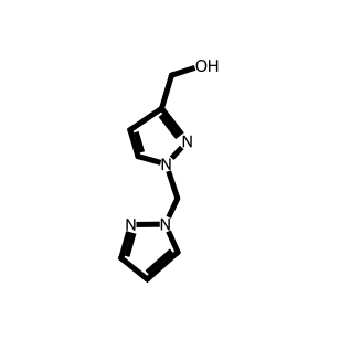 OCc1ccn(Cn2cccn2)n1